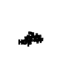 CCC(c1ccc(F)cc1)c1ccc(O)c(F)c1